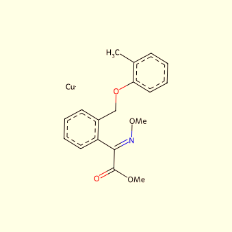 CO/N=C(/C(=O)OC)c1ccccc1COc1ccccc1C.[Cu]